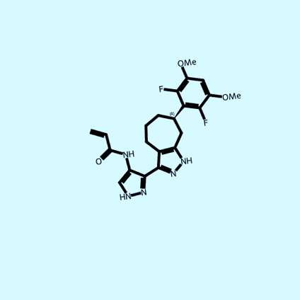 C=CC(=O)Nc1c[nH]nc1-c1n[nH]c2c1CCC[C@@H](c1c(F)c(OC)cc(OC)c1F)C2